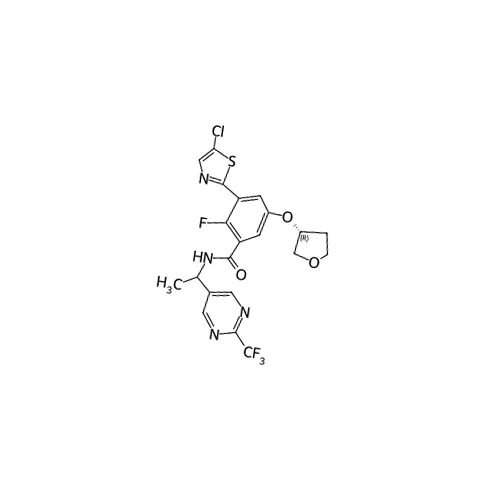 CC(NC(=O)c1cc(O[C@@H]2CCOC2)cc(-c2ncc(Cl)s2)c1F)c1cnc(C(F)(F)F)nc1